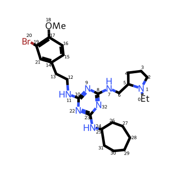 CCN1CCCC1CNc1nc(NCCc2ccc(OC)c(Br)c2)nc(NC2CCCCCC2)n1